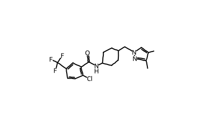 Cc1cn(CC2CCC(NC(=O)c3cc(C(F)(F)F)ccc3Cl)CC2)nc1C